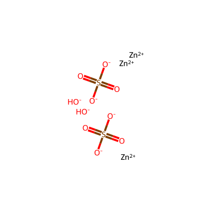 O=S(=O)([O-])[O-].O=S(=O)([O-])[O-].[OH-].[OH-].[Zn+2].[Zn+2].[Zn+2]